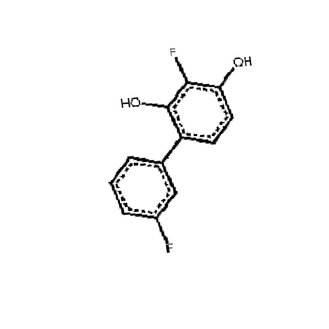 Oc1ccc(-c2cccc(F)c2)c(O)c1F